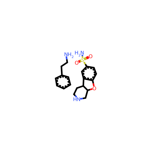 NCCc1ccccc1.NS(=O)(=O)c1ccc2c(c1)C1CCNCC1O2